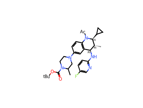 CC(=O)N1c2ccc(N3CCN(C(=O)OC(C)(C)C)C(C)C3)cc2[C@H](Nc2ccc(F)cn2)[C@@H](C)[C@@H]1C1CC1